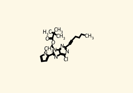 CCCCC#Cc1nc(Cl)c2nc(-c3cccn3C)n(COC(=O)C(C)(C)C)c2n1